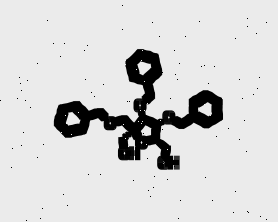 OC[C@H]1O[C@@](CO)(COCc2ccccc2)[C@@H](OCc2ccccc2)[C@@H]1OCc1ccccc1